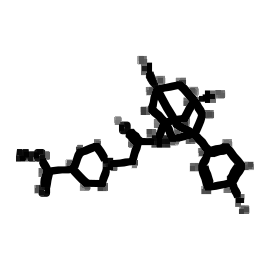 COC(=O)C1CCN(CC(=O)NC23C[C@H]4C[C@@H](C2)CC(c2ccc(F)cc2)(C4)C3)CC1